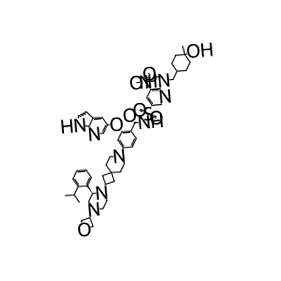 CC(C)c1ccccc1[C@@H]1CN(C2COC2)CCN1C1CC2(CCN(c3ccc(C(=O)NS(=O)(=O)c4cnc(NCC5CCC(C)(O)CC5)c([N+](=O)[O-])c4)c(Oc4cnc5[nH]ccc5c4)c3)CC2)C1